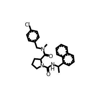 CC(NC(=O)N1CCCC1C(=O)N(C)Cc1ccc(Cl)cc1)c1cccc2ccccc12